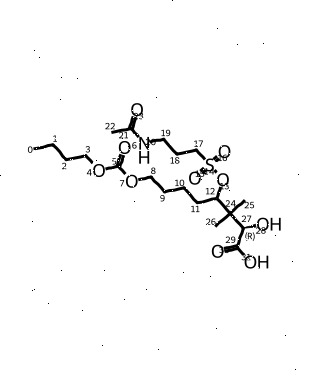 CCCCOC(=O)OCCCCC(OS(=O)(=O)CCCNC(C)=O)C(C)(C)[C@@H](O)C(=O)O